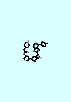 O=C(CC1CCNCC1)Nc1cncc(-c2cnc3[nH]nc(-c4nc5c(-c6ccc(F)cc6)nccc5[nH]4)c3c2)c1